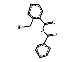 CC(C)Cc1ccccc1C(=O)OC(=O)c1ccccc1